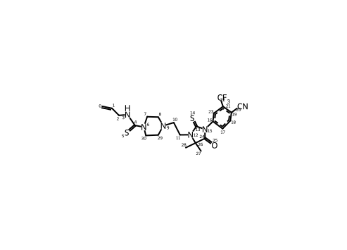 C=CCNC(=S)N1CCN(CCN2C(=S)N(c3ccc(C#N)c(C(F)(F)F)c3)C(=O)C2(C)C)CC1